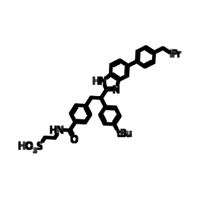 CC(C)Cc1ccc(-c2ccc3[nH]c(C(Cc4ccc(C(=O)NCCS(=O)(=O)O)cc4)c4ccc(C(C)(C)C)cc4)nc3c2)cc1